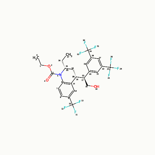 CCOC(=O)N1c2ccc(C(F)(F)F)cc2[C@@H]([C@H](CO)c2cc(C(F)(F)F)cc(C(F)(F)F)c2)C[C@H]1CC